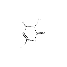 CC(=O)c1cc(=O)n(C(C)C)c(=O)[nH]1